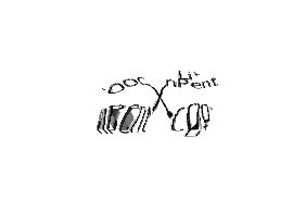 CCCCCC(CCCCC)(C(=O)[O-])C(=O)[O-].[Li+].[Li+]